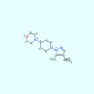 O=[N+]([O-])c1cnn(C2CCC(N3CCOCC3)CC2)c1Cl